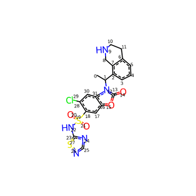 CC(c1cccc2c1CNCC2)n1c(=O)oc2cc(S(=O)(=O)Nc3ncns3)c(Cl)cc21